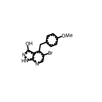 COc1ccc(Cc2c(Br)cnc3[nH]nc(O)c23)cc1